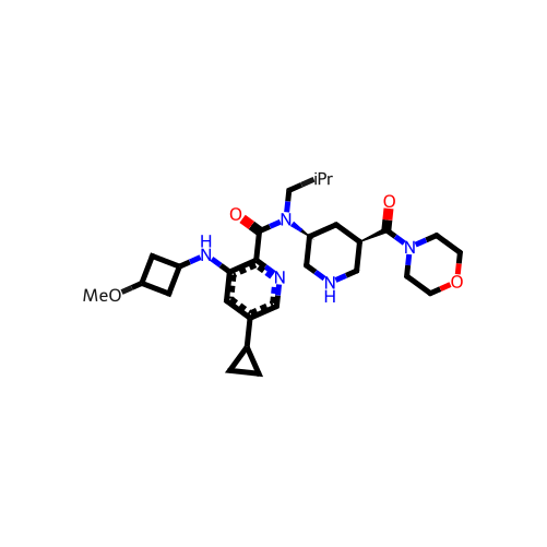 COC1CC(Nc2cc(C3CC3)cnc2C(=O)N(CC(C)C)[C@@H]2CNC[C@H](C(=O)N3CCOCC3)C2)C1